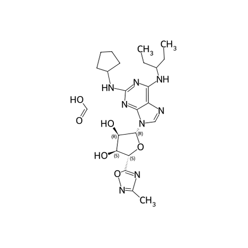 CCC(CC)Nc1nc(NC2CCCC2)nc2c1ncn2[C@@H]1O[C@H](c2nc(C)no2)[C@@H](O)[C@H]1O.O=CO